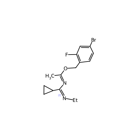 CC/N=C(\N=C(C)OCc1ccc(Br)cc1F)C1CC1